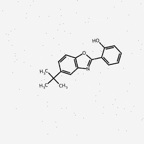 CC(C)(C)c1ccc2oc(-c3ccccc3O)nc2c1